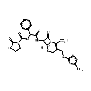 Cc1nnc(SCC2=C(C(=O)O)N3C(=O)C(NC(=O)C(NC(=O)N4CCNC4=O)c4ccccc4)[C@@H]3SC2)s1